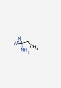 CCC1(N)N=N1